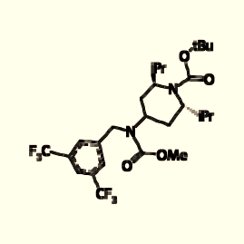 COC(=O)N(Cc1cc(C(F)(F)F)cc(C(F)(F)F)c1)C1C[C@@H](C(C)C)N(C(=O)OC(C)(C)C)[C@H](C(C)C)C1